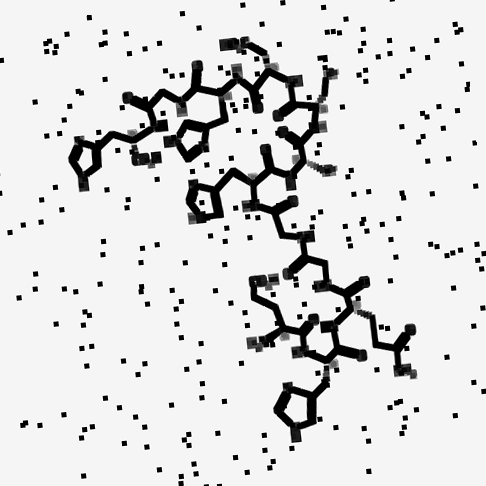 CC(C)C[C@H](NC(=O)[C@@H](NC(=O)[C@H](Cc1c[nH]cn1)NC(=O)CNC(=O)CNC(=O)[C@H](CCC(N)=O)NC(=O)[C@H](Cc1c[nH]cn1)NC(=O)[C@@H](N)CCC(=O)O)C(C)C)C(=O)N[C@@H](CC(=O)O)C(=O)N[C@@H](Cc1c[nH]cn1)C(=O)NCC(=O)N[C@@H](Cc1c[nH]cn1)C(=O)O